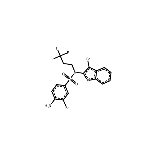 Nc1ccc(S(=O)(=O)N(CCC(F)(F)F)c2sc3ccccc3c2Br)cc1Br